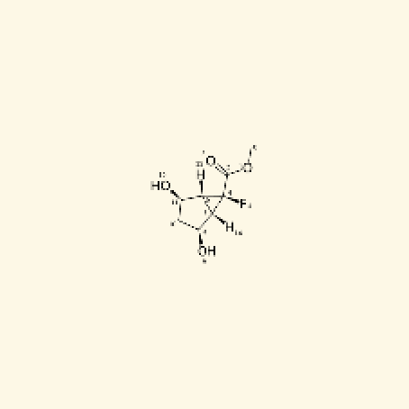 COC(=O)[C@@]1(F)[C@@H]2[C@H]1[C@@H](O)C[C@H]2O